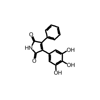 O=C1NC(=O)C(c2cc(O)c(O)c(O)c2)=C1c1ccccc1